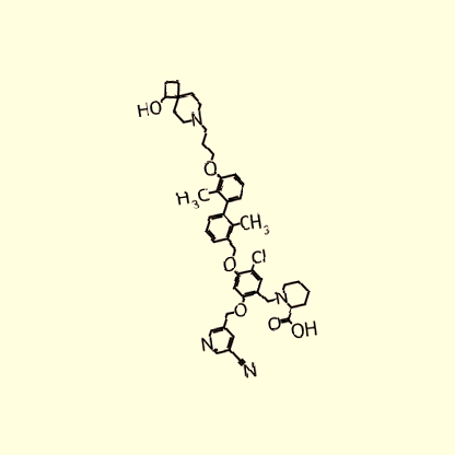 Cc1c(COc2cc(OCc3cncc(C#N)c3)c(CN3CCCC[C@H]3C(=O)O)cc2Cl)cccc1-c1cccc(OCCCN2CCC3(CCC3O)CC2)c1C